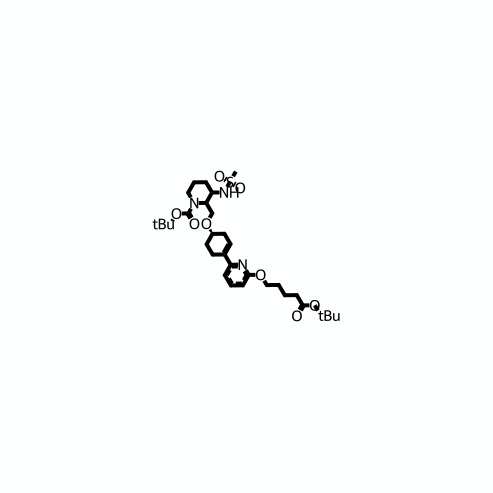 CC(C)(C)OC(=O)CCCCOc1cccc(C2=CC[C@H](OCC3C(NS(C)(=O)=O)CCCN3C(=O)OC(C)(C)C)CC2)n1